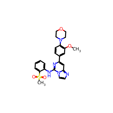 COc1cc(-c2cc3nccn3c(Nc3ccccc3S(C)(=O)=O)n2)ccc1N1CCOCC1